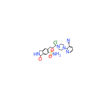 N#Cc1cccnc1N1CCN(C(Cl)CCc2cc3c(cc2S(N)(=O)=O)C(=O)NC3)CC1